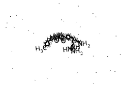 Cc1ccc(CCNC(=O)Nc2nc(=O)c(-c3ccc(CN(CCCN)CCCNC(=N)N)cc3)c[nH]2)cc1